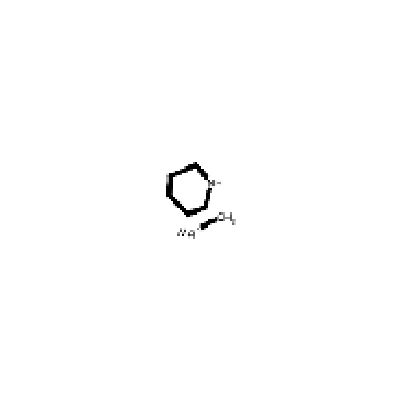 C1CCNCC1.[CH3][Mg+2]